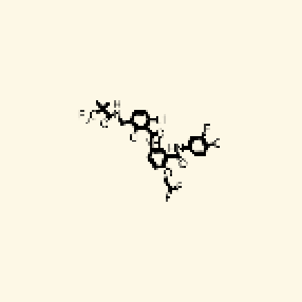 CC(C)(C(=O)NCc1ccc(Cl)c(C(=O)Nc2ccc(OCC(F)F)c(C(=O)Nc3ccc(Cl)c(F)c3)c2)c1Cl)C(F)(F)F